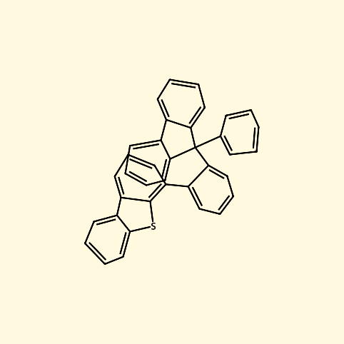 c1ccc(C2(c3ccccc3-c3cccc4c3sc3ccccc34)c3ccccc3-c3ccccc32)cc1